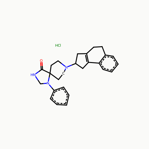 Cl.O=C1NCN(c2ccccc2)C12CCN(C1CC3=C(C1)c1ccccc1CC3)CC2